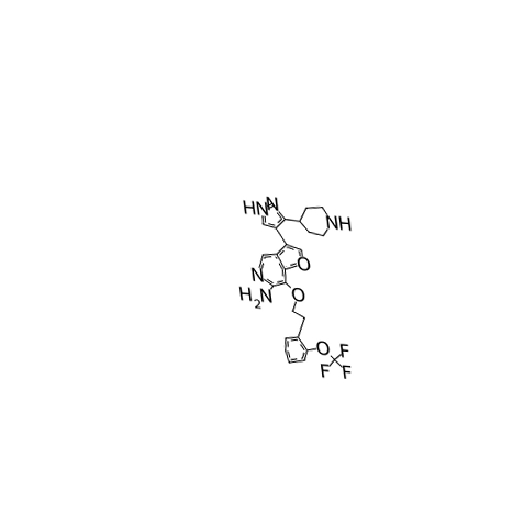 Nc1ncc2c(-c3c[nH]nc3C3CCNCC3)coc2c1OCCc1ccccc1OC(F)(F)F